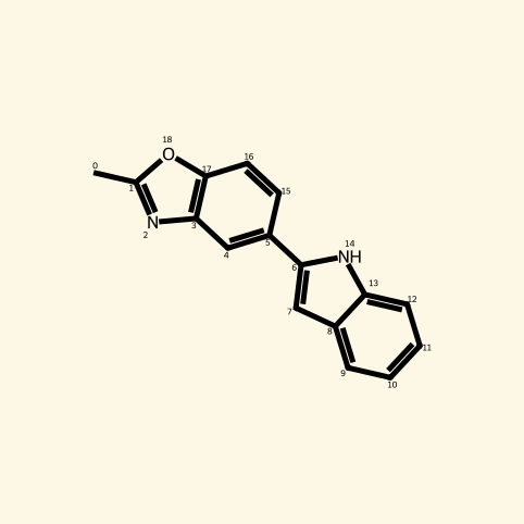 Cc1nc2cc(-c3cc4ccccc4[nH]3)ccc2o1